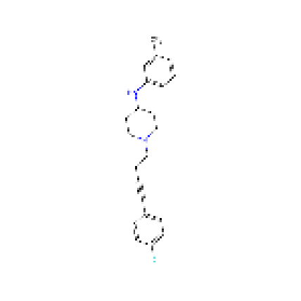 Fc1ccc(C#CCCN2CCC(Nc3cccc(C(F)(F)F)c3)CC2)cc1